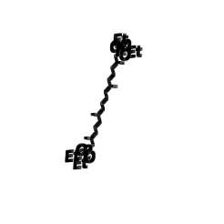 CCOP(C/C(C)=C/C=C/C(C)=C/C=C/C=C(C)/C=C/C=C(\C)CP(=O)(OCC)OCC)OCC